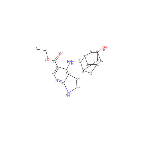 CCOC(=O)c1cnc2[nH]ccc2c1NC1C2CC3CC1CC(O)(C3)C2